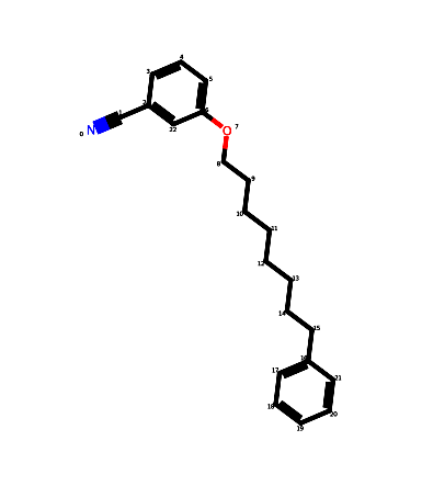 N#Cc1cccc(OCCCCCCCCc2ccccc2)c1